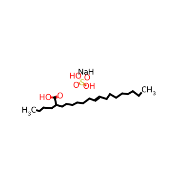 CCCCCCCCC=CCCCCCCC(CCCC)C(=O)O.O=S(=O)(O)O.[NaH]